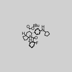 Cc1cccc(F)c1C(=O)N1[C@@H]2CCC[C@@H]2C[C@H](C(=O)OC(C)(C)C)[C@@H]1c1ccc(NC2CCCC2)cc1